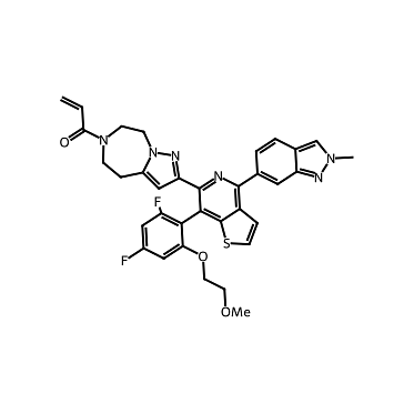 C=CC(=O)N1CCc2cc(-c3nc(-c4ccc5cn(C)nc5c4)c4ccsc4c3-c3c(F)cc(F)cc3OCCOC)nn2CC1